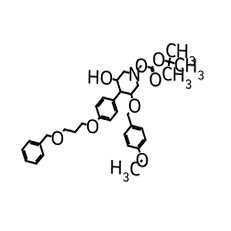 COc1ccc(COC2CN(OC(=O)OC(C)(C)C)CC(O)C2c2ccc(OCCCOCc3ccccc3)cc2)cc1